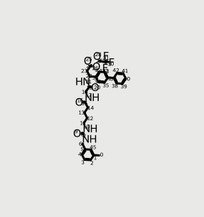 Cc1cccc(CNC(=O)NCCCCC(=O)NCC(=O)NC(CC(=O)OC(=O)C(F)(F)F)c2ccc(-c3ccccc3)cc2)c1